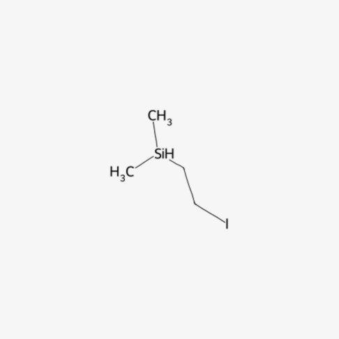 C[SiH](C)CCI